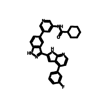 O=C(Nc1cncc(-c2ccc3[nH]nc(-c4cc5c(-c6cccc(F)c6)ccnc5[nH]4)c3c2)c1)C1CCCCC1